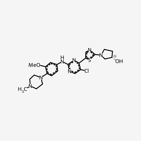 COc1cc(Nc2ncc(Cl)c(-c3cnc(N4CC[C@H](O)C4)s3)n2)ccc1N1CCN(C)CC1